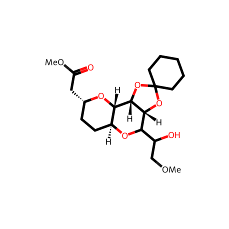 COCC(O)C1O[C@H]2CC[C@H](CC(=O)OC)O[C@@H]2[C@@H]2OC3(CCCCC3)O[C@H]12